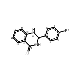 O=C1NC(c2ccc(F)cc2)Nc2ccccc21